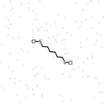 ClSCCCCCCSCl